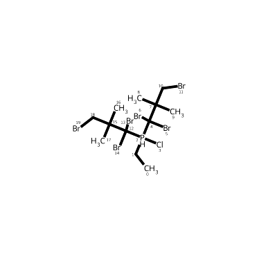 CC[PH](Cl)(C(Br)(Br)C(C)(C)CBr)C(Br)(Br)C(C)(C)CBr